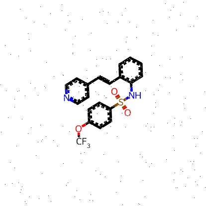 O=S(=O)(Nc1ccccc1C=Cc1ccncc1)c1ccc(OC(F)(F)F)cc1